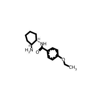 CCOc1ccc(C(=O)N[C@H]2CCCC[C@@H]2N)cc1